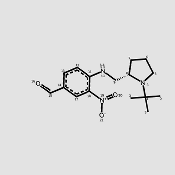 CC(C)(C)N1CCC[C@H]1CNc1ccc(C=O)cc1[N+](=O)[O-]